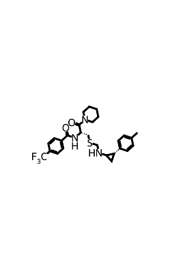 Cc1ccc([C@@H]2CC2NCSC[C@H](NC(=O)c2ccc(C(F)(F)F)cc2)C(=O)N2CCCCC2)cc1